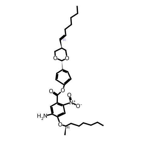 CCCCC/C=C/[C@H]1CO[C@H](c2ccc(OC(=O)c3cc(N)c(O[C@H](C)CCCCCC)cc3[N+](=O)[O-])cc2)OC1